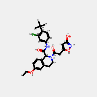 CCOc1ccc2c(c1)CCN(C(=O)Cc1cc(O)no1)C2C(=O)Nc1ccc(C(C)(C)C)c(F)c1